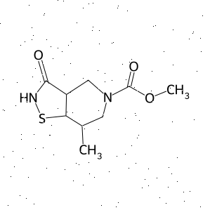 COC(=O)N1CC(C)C2SNC(=O)C2C1